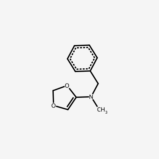 CN(Cc1ccccc1)C1=COCO1